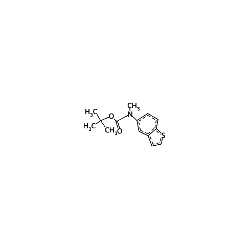 CN(C(=O)OC(C)(C)C)c1ccc2sccc2c1